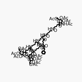 CC(=O)NC1C(C(=O)CCCC(=O)NCCCCC(=O)NCCN(CCNC(=O)CCCCNC(=O)CCCC(=O)C2OC(COC(C)=O)C(OC(C)=O)C(OC(C)=O)C2NC(C)=O)C(=O)CC[C@H](NC(=O)CCCCNC(=O)CCCC(=O)C2OC(COC(C)=O)C(OC(C)=O)C(OC(C)=O)C2NC(C)=O)C(=O)OCc2ccccc2)OC(COC(C)=O)C(OC(C)=O)C1OC(C)=O